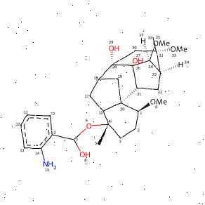 CO[C@H]1CC[C@](C)(OC(O)c2ccccc2N)C2CC3C[C@]21C1C[C@H]2[C@H](OC)[C@]1(O)[C@]3(O)C[C@]2(C)OC